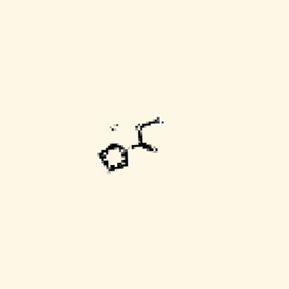 CCOC(=O)[n+]1ccsc1.[Cl-]